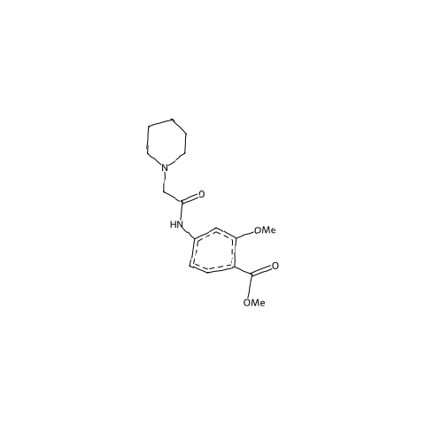 COC(=O)c1ccc(NC(=O)CN2CCCCC2)cc1OC